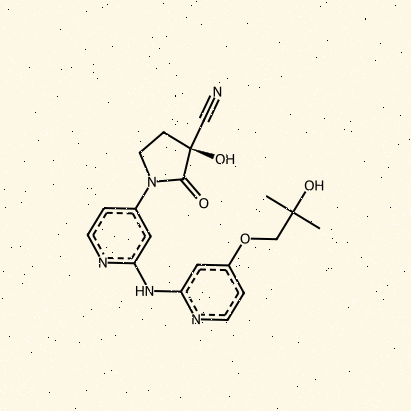 CC(C)(O)COc1ccnc(Nc2cc(N3CC[C@](O)(C#N)C3=O)ccn2)c1